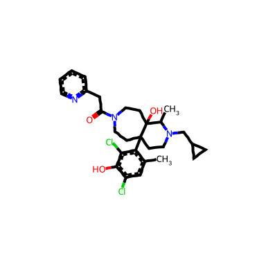 Cc1cc(Cl)c(O)c(Cl)c1C12CCN(C(=O)Cc3ccccn3)CCC1(O)C(C)N(CC1CC1)CC2